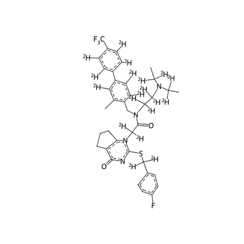 [2H]c1c([2H])c(-c2c([2H])c([2H])c(C(F)(F)F)c([2H])c2[2H])c([2H])c(C)c1CN(C(=O)C([2H])([2H])n1c(SC([2H])([2H])c2ccc(F)cc2)nc(=O)c2c1CCC2)C([2H])([2H])C([2H])([2H])N(C([2H])([2H])C)C([2H])([2H])C